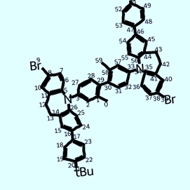 Cc1cc(N2c3ccc(Br)cc3CCc3cc(-c4ccc(C(C)(C)C)cc4)ccc32)ccc1-c1ccc(N2c3ccc(Br)cc3CCc3cc(-c4ccc(C(C)(C)C)cc4)ccc32)cc1C